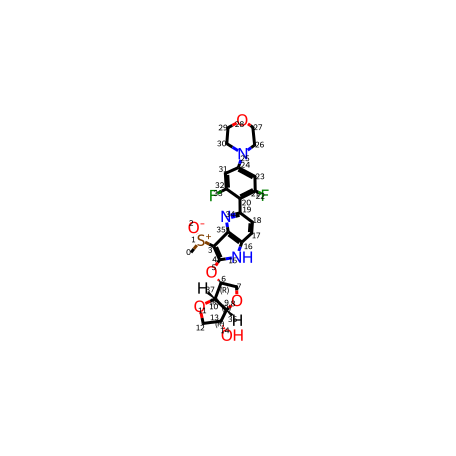 C[S+]([O-])c1c(O[C@@H]2CO[C@H]3[C@@H]2OC[C@H]3O)[nH]c2ccc(-c3c(F)cc(N4CCOCC4)cc3F)nc12